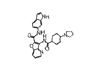 O=C(Nc1ccc2cc[nH]c2c1)c1oc2cccnc2c1NC(=O)C1CCC(N2CCCC2)CC1